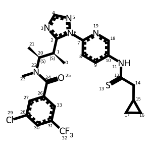 C[C@H](c1ncnn1-c1ccc(NC(=S)CC2CC2)cn1)[C@H](C)N(C)C(=O)c1cc(Cl)cc(C(F)(F)F)c1